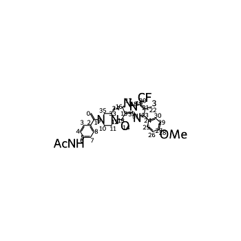 C=C(c1ccc(NC(C)=O)cc1)N1CCN(C(=O)c2cnn3c(C(F)(F)F)c(C)c(-c4ccc(OC)cc4)nc23)[C@H](C)C1